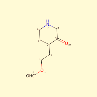 O=COCCC1CCNCC1=O